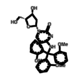 COc1ccccc1C(Nc1ccn([C@H]2C[C@H](O)[C@@H](CO)O2)c(=O)n1)(c1ccccc1OC)c1ccccc1OC